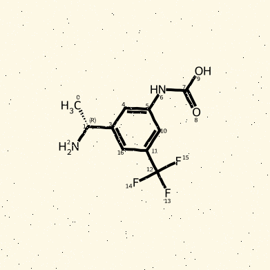 C[C@@H](N)c1cc(NC(=O)O)cc(C(F)(F)F)c1